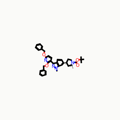 C[C@@H]1C[C@@H](c2ccc3c(-c4ccc(OCc5ccccc5)nc4OCc4ccccc4)nn(C)c3c2)CCN1C(=O)OC(C)(C)C